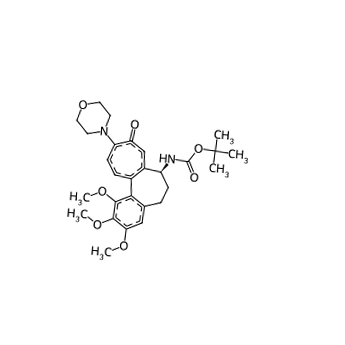 COc1cc2c(c(OC)c1OC)-c1ccc(N3CCOCC3)c(=O)cc1[C@@H](NC(=O)OC(C)(C)C)CC2